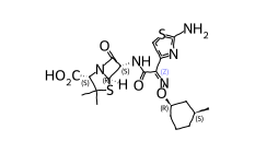 C[C@H]1CCC[C@@H](O/N=C(\C(=O)N[C@H]2C(=O)N3[C@@H]2SC(C)(C)[C@@H]3C(=O)O)c2csc(N)n2)C1